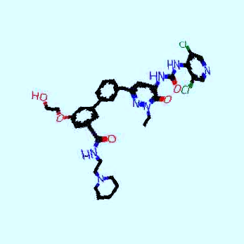 CCn1nc(-c2cccc(-c3cc(OCCO)cc(C(=O)NCCN4CCCCC4)c3)c2)cc(NC(=O)Nc2c(Cl)cncc2Cl)c1=O